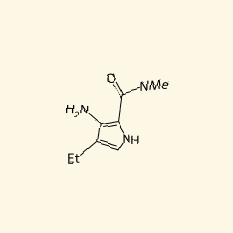 CCc1c[nH]c(C(=O)NC)c1N